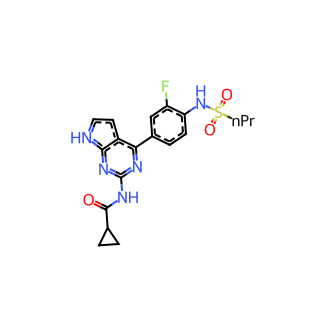 CCCS(=O)(=O)Nc1ccc(-c2nc(NC(=O)C3CC3)nc3[nH]ccc23)cc1F